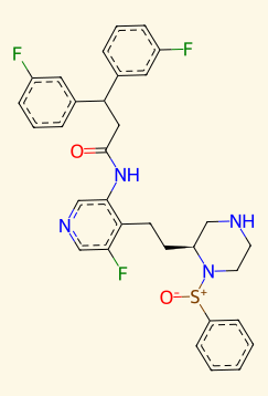 O=C(CC(c1cccc(F)c1)c1cccc(F)c1)Nc1cncc(F)c1CC[C@H]1CNCCN1[S+]([O-])c1ccccc1